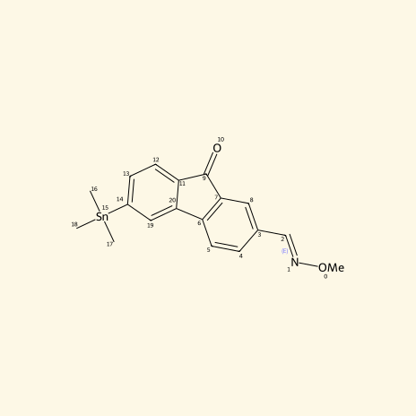 CO/N=C/c1ccc2c(c1)C(=O)c1cc[c]([Sn]([CH3])([CH3])[CH3])cc1-2